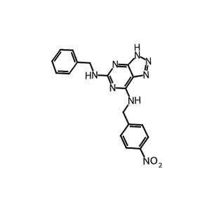 O=[N+]([O-])c1ccc(CNc2nc(NCc3ccccc3)nc3[nH]nnc23)cc1